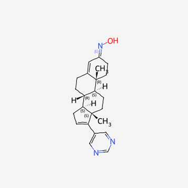 C[C@]12CC/C(=N\O)C=C1CC[C@@H]1[C@@H]2CC[C@]2(C)C(c3cncnc3)=CC[C@@H]12